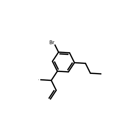 [CH2]C(C=C)c1cc(Br)cc(CCC)c1